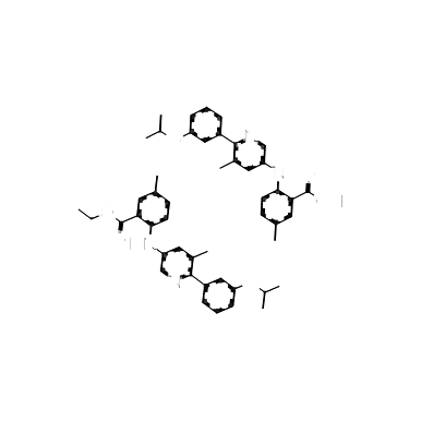 CCOC(=O)c1cc(C)ccc1Nc1cnc(-c2cccc(OC(C)C)c2)c(C)c1.Cc1ccc(Nc2cnc(-c3cccc(OC(C)C)c3)c(C)c2)c(C(=O)O)c1